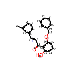 Cc1cccc(/C=C/C(=O)c2c(O)cccc2OCc2ccccc2)c1